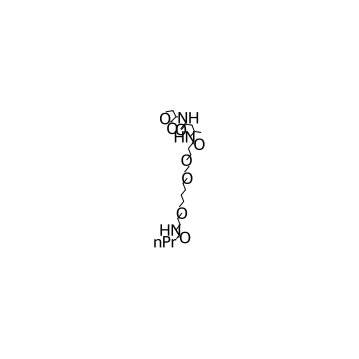 CCCC(=O)NCCOCCCCCOCCOCCC(=O)NC(C)CC(=O)NC1CCOC1=O